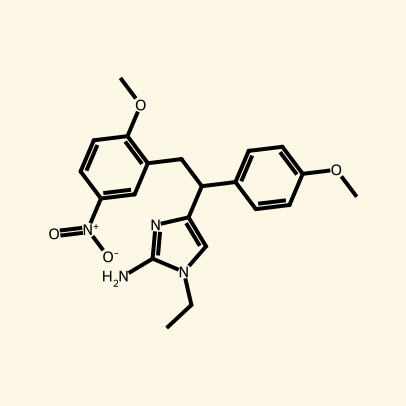 CCn1cc(C(Cc2cc([N+](=O)[O-])ccc2OC)c2ccc(OC)cc2)nc1N